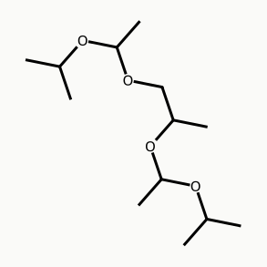 CC(C)OC(C)OCC(C)OC(C)OC(C)C